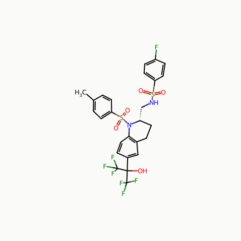 Cc1ccc(S(=O)(=O)N2c3ccc(C(O)(C(F)(F)F)C(F)(F)F)cc3CC[C@H]2CNS(=O)(=O)c2ccc(F)cc2)cc1